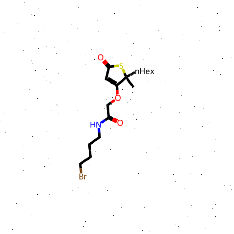 CCCCCCC1(C)SC(=O)C=C1OCC(=O)NCCCCBr